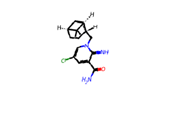 CC1(C)[C@H]2CC[C@@H](Cn3cc(Cl)cc(C(N)=O)c3=N)[C@@H]1C2